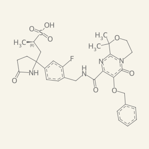 C[C@H](CC1(c2ccc(CNC(=O)c3nc4n(c(=O)c3OCc3ccccc3)CCOC4(C)C)c(F)c2)CCC(=O)N1)S(=O)(=O)O